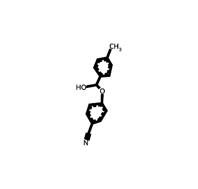 Cc1ccc(C(O)Oc2ccc(C#N)cc2)cc1